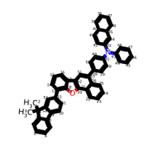 CC1(C)c2ccccc2-c2ccc(-c3cccc4c3oc3c5ccccc5c(-c5ccc(N(C6=CC7C=CC=CC7C=C6)c6ccccc6)cc5)cc43)cc21